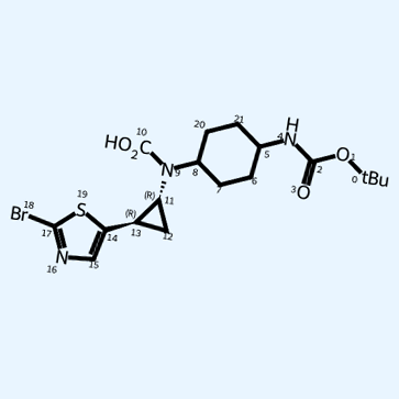 CC(C)(C)OC(=O)NC1CCC(N(C(=O)O)[C@@H]2C[C@H]2c2cnc(Br)s2)CC1